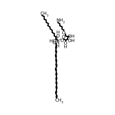 CC#CC#CC#CC#CC#CC#CC#CC#CC#CC#CC#CC#CC(=O)N[C@@H](COC1OC(COCCCCCCN)C(O)C(O)C1O)[C@H](O)[C@H](O)CCCCCCCCCCCCCC